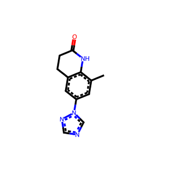 Cc1cc(-n2cncn2)cc2c1NC(=O)CC2